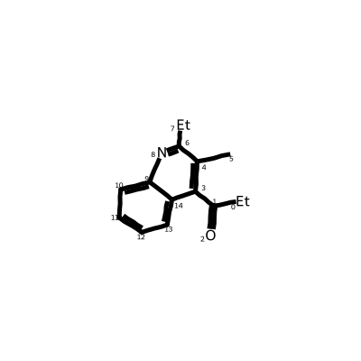 CCC(=O)c1c(C)c(CC)nc2ccccc12